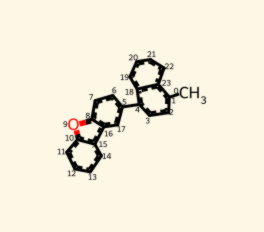 Cc1ccc(-c2ccc3oc4ccccc4c3c2)c2ccccc12